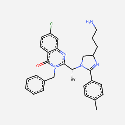 Cc1ccc(C2=NC(CCCN)CN2[C@@H](c2nc3cc(Cl)ccc3c(=O)n2Cc2ccccc2)C(C)C)cc1